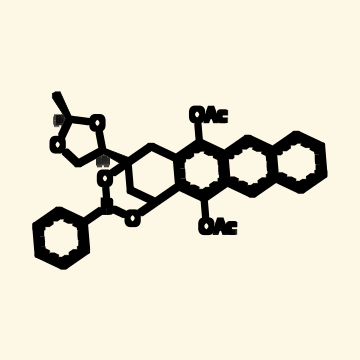 CC(=O)Oc1c2c(c(OC(C)=O)c3cc4ccccc4cc13)C1CC([C@H]3CO[C@@H](C)O3)(C2)OB(c2ccccc2)O1